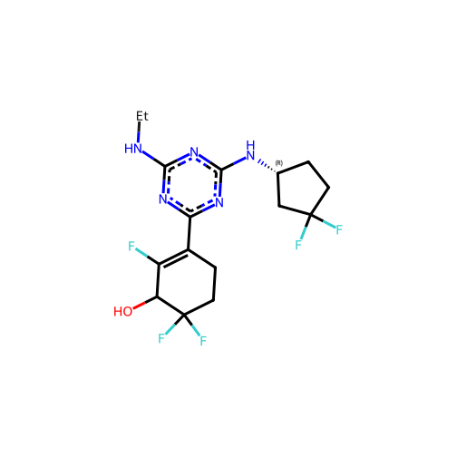 CCNc1nc(N[C@@H]2CCC(F)(F)C2)nc(C2=C(F)C(O)C(F)(F)CC2)n1